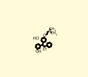 CC/C(=C(/c1ccc(OCCN(C)C)cc1)c1cccc(O)c1)c1ccccc1.Cl